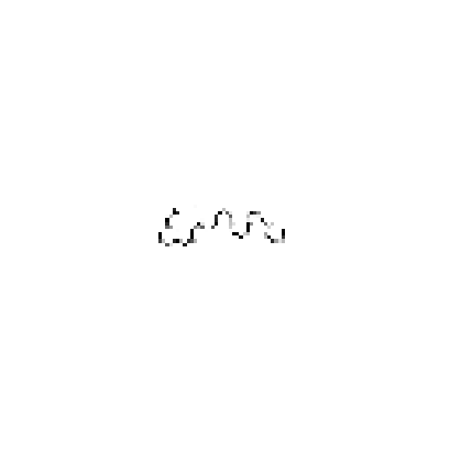 CC[C@@H](C(=O)[C@@H](C)C(=O)[C@H](C)[C@@H]1O[C@@H]([C@@H](CC)C(=O)OC)CC[C@@H]1C)[C@H]1O[C@]2(C=C[C@@H](OC(C)=O)[C@]3(CC[C@@](C)([C@H]4CC[C@](O)(CC)[C@H](C)O4)O3)O2)[C@H](C)C[C@@H]1C